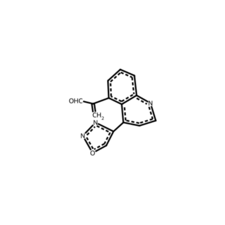 C=C(C=O)c1cccc2nccc(-c3conn3)c12